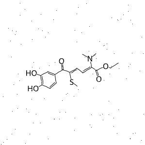 CCOC(=O)C(=CC=C(SC)C(=O)c1ccc(O)c(O)c1)N(C)C